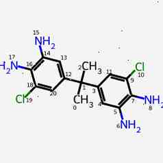 CC(C)(c1cc(N)c(N)c(Cl)c1)c1cc(N)c(N)c(Cl)c1